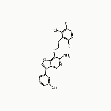 Nc1ncc2c(-c3cccc(O)c3)coc2c1OCCc1c(Cl)ccc(F)c1Cl